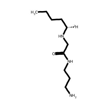 [2H][C@@H](CCCC)NCC(=O)NCCCN